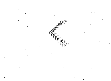 [Ba+2].[Cu+2].[Eu+3].[La+3].[O-2].[O-2].[O-2].[O-2].[O-2].[O-2].[O-2].[Th+4]